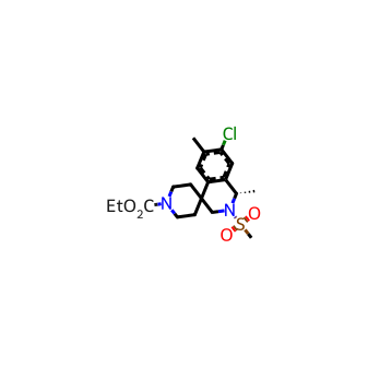 CCOC(=O)N1CCC2(CC1)CN(S(C)(=O)=O)[C@@H](C)c1cc(Cl)c(C)cc12